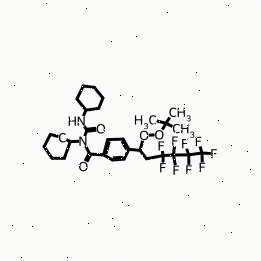 CC(C)(C)OOC(CC(F)(F)C(F)(F)C(F)(F)C(F)(F)F)c1ccc(C(=O)N(C(=O)NC2CCCCC2)C2CCCCC2)cc1